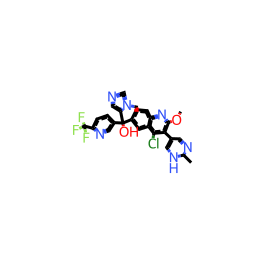 COc1nc2ccc(C(O)(c3ccc(C(F)(F)F)nc3)c3cncn3C)cc2c(Cl)c1C1=CNC(C)N=C1